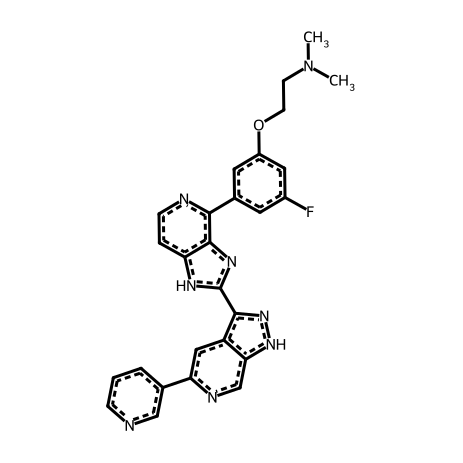 CN(C)CCOc1cc(F)cc(-c2nccc3[nH]c(-c4n[nH]c5cnc(-c6cccnc6)cc45)nc23)c1